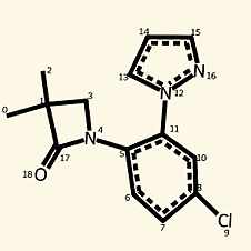 CC1(C)CN(c2ccc(Cl)cc2-n2cccn2)C1=O